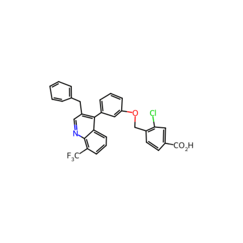 O=C(O)c1ccc(COc2cccc(-c3c(Cc4ccccc4)cnc4c(C(F)(F)F)cccc34)c2)c(Cl)c1